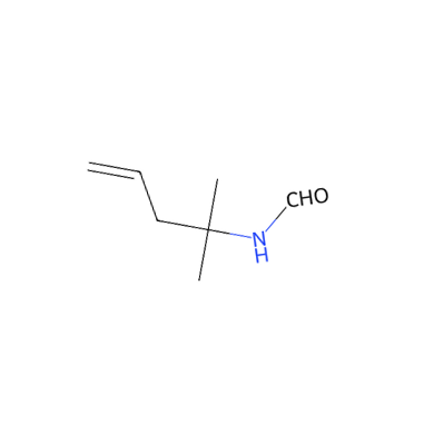 C=CCC(C)(C)NC=O